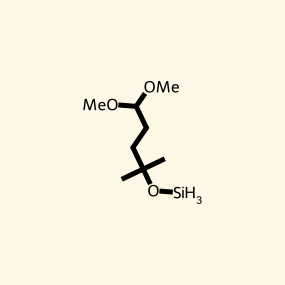 COC(CCC(C)(C)O[SiH3])OC